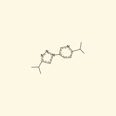 CC(C)c1ccc(-n2cc(C(C)C)nn2)cn1